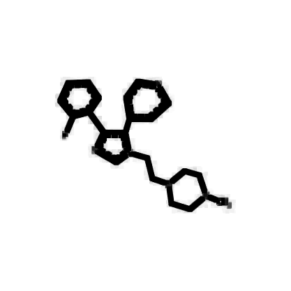 CN1CCN(CCn2cnc(-c3ccccc3F)c2-c2ccncc2)CC1